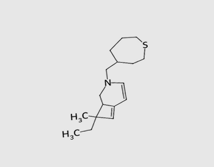 CCC1(C)C=C2C=CN(CC3CCCSCC3)CC21